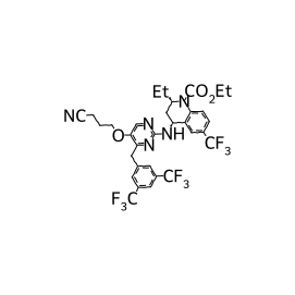 CCOC(=O)N1c2ccc(C(F)(F)F)cc2[C@@H](Nc2ncc(OCCCC#N)c(Cc3cc(C(F)(F)F)cc(C(F)(F)F)c3)n2)C[C@H]1CC